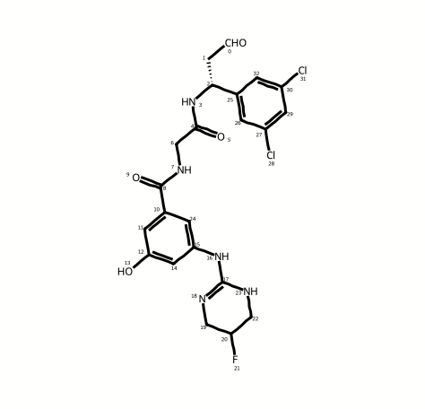 O=CC[C@@H](NC(=O)CNC(=O)c1cc(O)cc(NC2=NCC(F)CN2)c1)c1cc(Cl)cc(Cl)c1